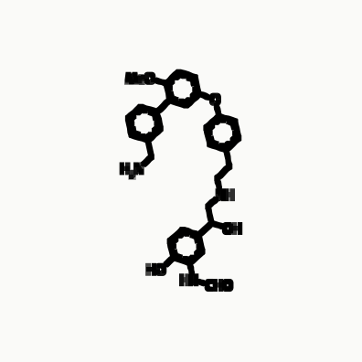 COc1ccc(Oc2ccc(CCNCC(O)c3ccc(O)c(NC=O)c3)cc2)cc1-c1cccc(CN)c1